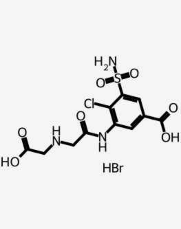 Br.NS(=O)(=O)c1cc(C(=O)O)cc(NC(=O)CNCC(=O)O)c1Cl